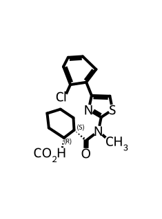 CN(C(=O)[C@H]1CCCC[C@H]1C(=O)O)c1nc(-c2ccccc2Cl)cs1